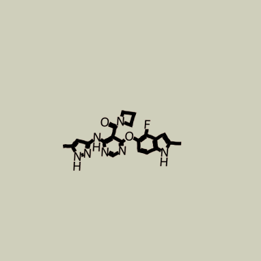 Cc1cc(Nc2ncnc(Oc3ccc4[nH]c(C)cc4c3F)c2C(=O)N2CCC2)n[nH]1